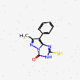 Cc1nn2c(=O)[nH]c(S)nc2c1-c1ccccc1